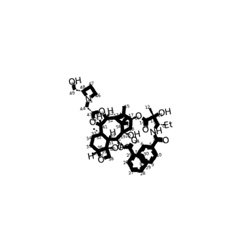 CC[C@H](NC(=O)c1ccccc1)[C@@](C)(O)C(=O)O[C@H]1C[C@@]2(O)[C@@H](OC(=O)c3ccccc3)[C@H]3[C@@](C)(CC[C@H]4OC[C@]43OC(C)=O)[C@@H]3O[C@H](CN4CC[C@H]4CO)O[C@@H]3C(=C1C)C2(C)C